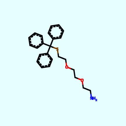 NCCOCCOCCSC(c1ccccc1)(c1ccccc1)c1ccccc1